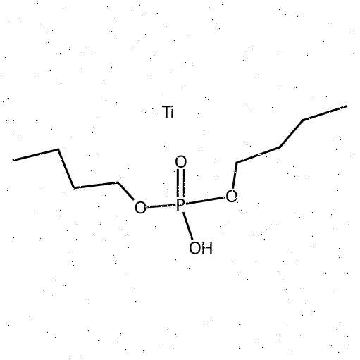 CCCCOP(=O)(O)OCCCC.[Ti]